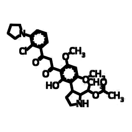 COc1cc(OC)c(C2CCNC2C(C)OC(C)=O)c(O)c1C(=O)CC(=O)c1cccc(N2CCCC2)c1Cl